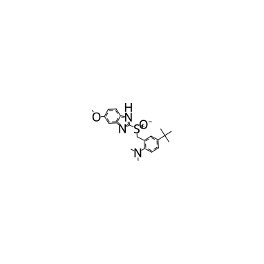 COc1ccc2[nH]c([S+]([O-])Cc3cc(C(C)(C)C)ccc3N(C)C)nc2c1